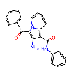 Nc1c(C(=O)Nc2ccccc2)c2ccccn2c1C(=O)c1ccccc1